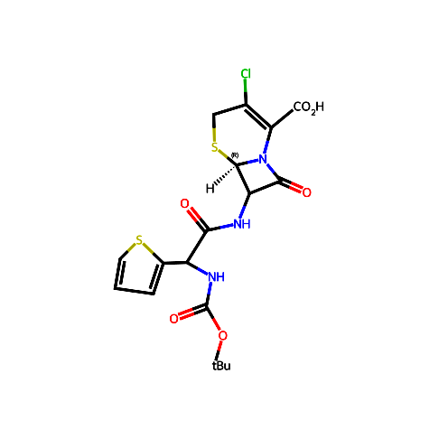 CC(C)(C)OC(=O)NC(C(=O)NC1C(=O)N2C(C(=O)O)=C(Cl)CS[C@H]12)c1cccs1